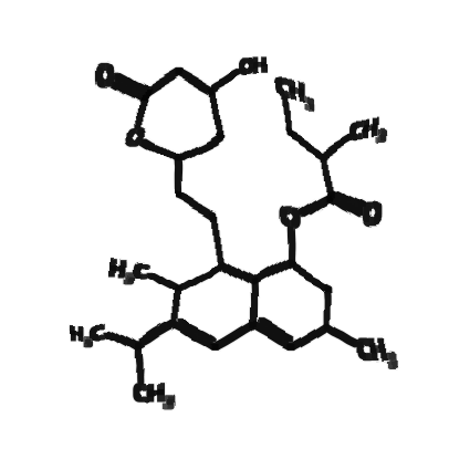 CCC(C)C(=O)OC1CC(C)C=C2C=C(C(C)C)C(C)C(CCC3CC(O)CC(=O)O3)C21